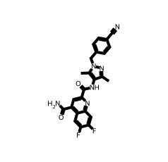 Cc1nn(Cc2ccc(C#N)cc2)c(C)c1NC(=O)c1cc(C(N)=O)c2cc(F)c(F)cc2n1